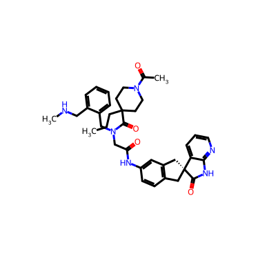 CCCC1(C(=O)N(CC(=O)Nc2ccc3c(c2)C[C@@]2(C3)C(=O)Nc3ncccc32)Cc2ccccc2CNC)CCN(C(C)=O)CC1